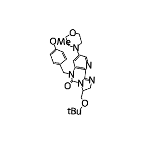 COc1ccc(CN2C(=O)N3C(=NCC3COC(C)(C)C)c3ncc(N4CCOCC4)cc32)cc1